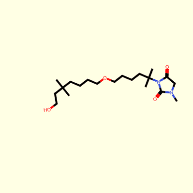 CN1CC(=O)N(C(C)(C)CCCCOCCCCC(C)(C)CCO)C1=O